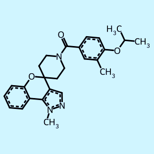 Cc1cc(C(=O)N2CCC3(CC2)Oc2ccccc2-c2c3cnn2C)ccc1OC(C)C